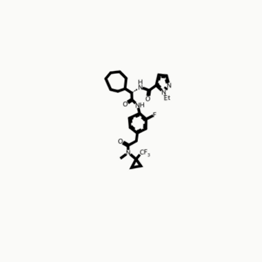 CCn1nccc1C(=O)N[C@H](C(=O)Nc1ccc(CC(=O)N(C)C2(C(F)(F)F)CC2)cc1F)C1CCCCCC1